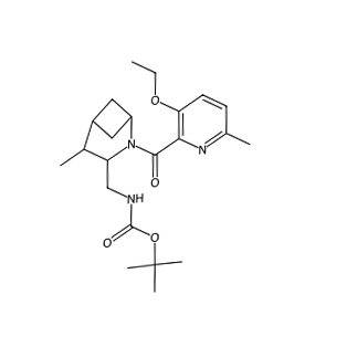 CCOc1ccc(C)nc1C(=O)N1C2CC(C2)C(C)C1CNC(=O)OC(C)(C)C